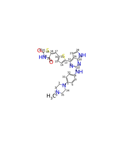 CN1CCN(c2ccc(Nc3nc(-c4ccc(/C=C5/SC(=O)NC5=O)s4)c4cc[nH]c4n3)cc2)CC1